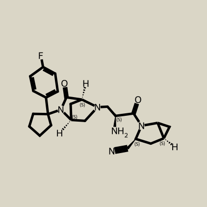 N#C[C@@H]1C[C@@H]2CC2N1C(=O)[C@@H](N)CN1C[C@@H]2C[C@H]1C(=O)N2C1(c2ccc(F)cc2)CCCC1